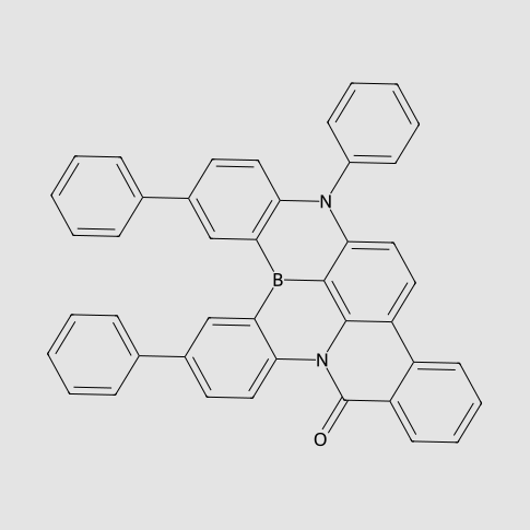 O=c1c2ccccc2c2ccc3c4c2n1-c1ccc(-c2ccccc2)cc1B4c1cc(-c2ccccc2)ccc1N3c1ccccc1